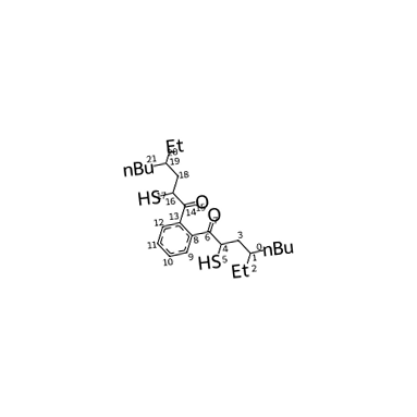 CCCCC(CC)CC(S)C(=O)c1ccccc1C(=O)C(S)CC(CC)CCCC